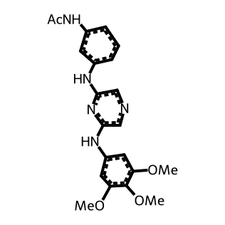 COc1cc(Nc2cncc(Nc3cccc(NC(C)=O)c3)n2)cc(OC)c1OC